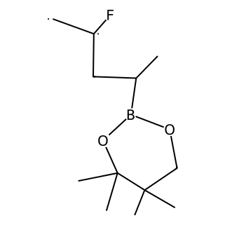 [CH2][C](F)CC(C)B1OCC(C)(C)C(C)(C)O1